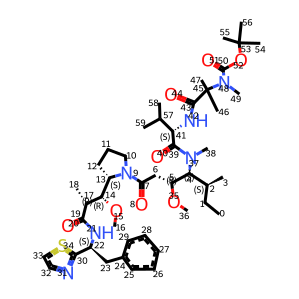 CC[C@H](C)[C@@H]([C@@H](CC(=O)N1CCC[C@H]1[C@H](OC)[C@@H](C)C(=O)N[C@@H](Cc1ccccc1)c1nccs1)OC)N(C)C(=O)[C@@H](NC(=O)C(C)(C)N(C)C(=O)OC(C)(C)C)C(C)C